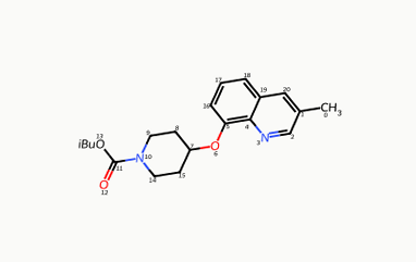 Cc1cnc2c(OC3CCN(C(=O)OCC(C)C)CC3)cccc2c1